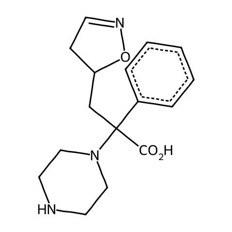 O=C(O)C(CC1CC=NO1)(c1ccccc1)N1CCNCC1